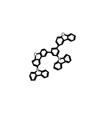 c1ccc2c(c1)oc1ccc(-c3cc(-c4ccc5oc6ccc(-n7c8ccccc8c8ccccc87)cc6c5c4)cc(-n4c5ccccc5c5ccccc54)c3)cc12